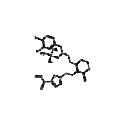 COC(=O)c1ccc(CCN2C(=O)SCCN2CCC(Cc2ccc(F)c(Br)c2)O[Si](C)(C)C(C)(C)C)s1